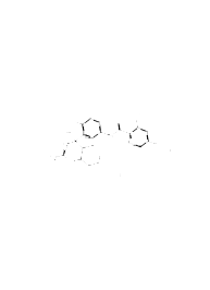 C[C@@H]1C[C@H]2OC(N)=N[C@](CF)(c3cc(NC(=O)c4ncc(C(F)(F)F)cc4Cl)ccc3F)[C@H]2CO1